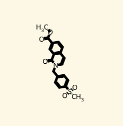 COC(=O)c1ccc2ccn(Cc3ccc(S(C)(=O)=O)cc3)c(=O)c2c1